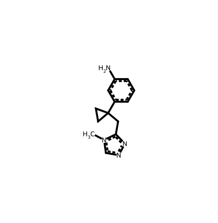 Cn1cnnc1CC1(c2cccc(N)c2)CC1